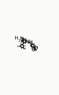 Cc1cc(C)cc(-c2cc(NCCc3ccc(S(C)(=O)=O)cc3)nc(N)n2)c1